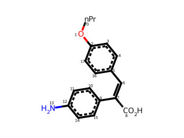 CCCOc1ccc(C=C(C(=O)O)c2ccc(N)cc2)cc1